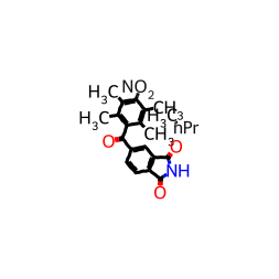 CCCC.Cc1c(C)c([N+](=O)[O-])c(C)c(C)c1C(=O)c1ccc2c(c1)C(=O)NC2=O